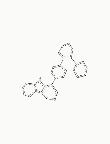 c1ccc(-c2ccccc2-c2ccc(-c3cccc4c3[nH]c3ccccc34)cc2)cc1